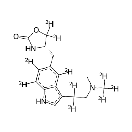 [2H]c1c(C[C@@H]2NC(=O)OC2([2H])[2H])c([2H])c2c(C([2H])([2H])CN(C)C([2H])([2H])[2H])c[nH]c2c1[2H]